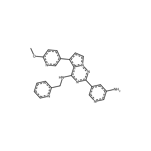 COc1ccc(-c2ccn3nc(-c4cncc(N)c4)nc(NCc4ccccn4)c23)cn1